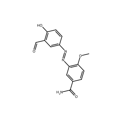 COc1ccc(C(N)=O)cc1N=Nc1ccc(O)c(C=O)c1